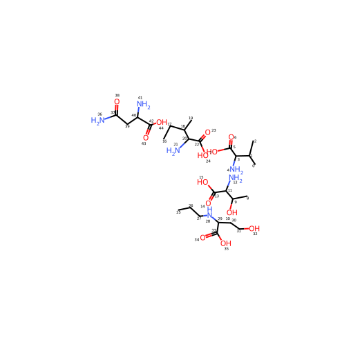 CC(C)C(N)C(=O)O.CC(O)C(N)C(=O)O.CCC(C)C(N)C(=O)O.CCCNC(CCO)C(=O)O.NC(=O)CC(N)C(=O)O